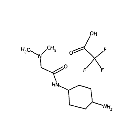 CN(C)CC(=O)NC1CCC(N)CC1.O=C(O)C(F)(F)F